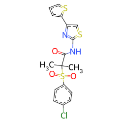 CC(C)(C(=O)Nc1nc(-c2cccs2)cs1)S(=O)(=O)c1ccc(Cl)cc1